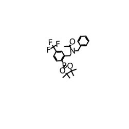 CC(=O)N(Cc1ccccc1)Cc1cc(C(F)(F)F)ccc1B1OC(C)(C)C(C)(C)O1